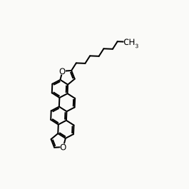 CCCCCCCCc1cc2c(ccc3c2ccc2c4ccc5occc5c4ccc32)o1